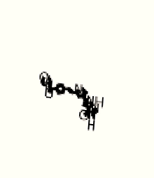 O=C(c1ccc(C=Cc2cc(-c3cc4c(=O)[nH]cnc4[nH]3)ccn2)cc1)N1CCOCC1